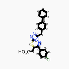 O=C(O)CC1Sc2nnc(Cc3ccc(-c4ccccc4)cc3)n2N=C1c1ccc(Cl)cc1